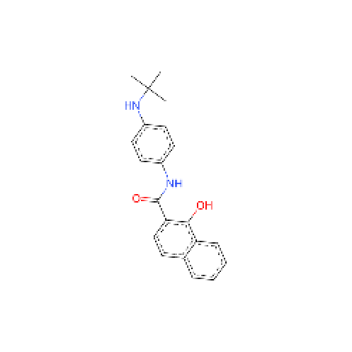 CC(C)(C)Nc1ccc(NC(=O)c2ccc3ccccc3c2O)cc1